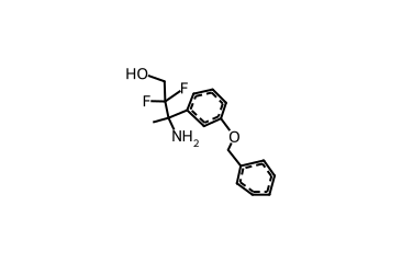 CC(N)(c1cccc(OCc2ccccc2)c1)C(F)(F)CO